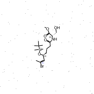 COC(=O)[C@H](CO)NC(=O)CCC[C@@H](/C=C(\C)Br)O[Si](C)(C)C(C)(C)C